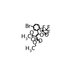 CCOC(=O)C1=C(OS(=O)(=O)C(F)(F)F)c2cccc(Br)c2OC1(C)C